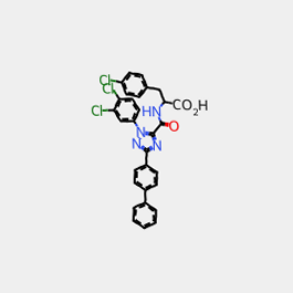 O=C(NC(Cc1ccc(Cl)cc1)C(=O)O)c1nc(-c2ccc(-c3ccccc3)cc2)nn1-c1ccc(Cl)c(Cl)c1